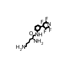 NCCCC[C@H](N)C(=O)Nc1cccc(-c2c(F)c(F)nc(F)c2F)c1